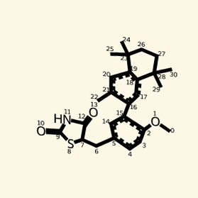 COc1ccc(CC2SC(=O)NC2=O)cc1-c1cc2c(cc1C)C(C)(C)CCC2(C)C